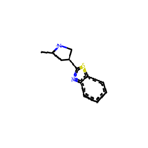 CC1CC(c2nc3ccccc3s2)C[N]1